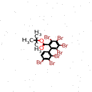 CC(C)(C)OC(=O)c1c(Br)c(Br)c(Br)c(Br)c1-c1ccc(Br)c(Br)c1Br